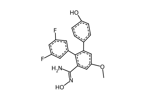 COc1cc(/C(N)=N/O)c(-c2cc(F)cc(F)c2)c(-c2ccc(O)cc2)c1